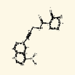 CCN(CC)c1ncnc2ccc(C#CCNC(=O)c3ccc[nH]c3=O)cc12